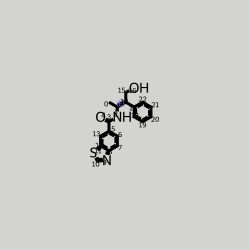 C/C(NC(=O)c1ccc2ncsc2c1)=C(\CO)c1ccccc1